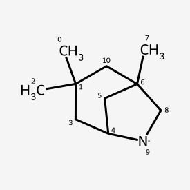 CC1(C)CC2CC(C)(C[N]2)C1